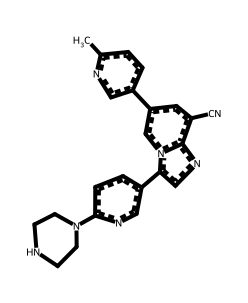 Cc1ccc(-c2cc(C#N)c3ncc(-c4ccc(N5CCNCC5)nc4)n3c2)cn1